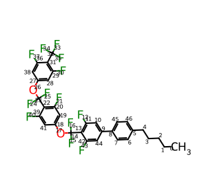 CCCCCc1ccc(-c2cc(F)c(C(F)(F)Oc3cc(F)c(C(F)(F)Oc4cc(F)c(C(F)(F)F)c(F)c4)c(F)c3)c(F)c2)cc1